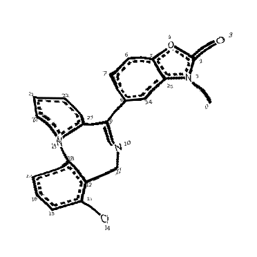 Cn1c(=O)oc2ccc(C3=NCc4c(Cl)cccc4-n4cccc43)cc21